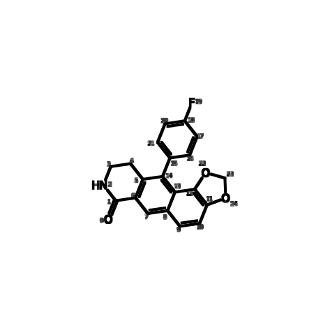 O=C1NCCc2c1cc1ccc3c(c1c2-c1ccc(F)cc1)OCO3